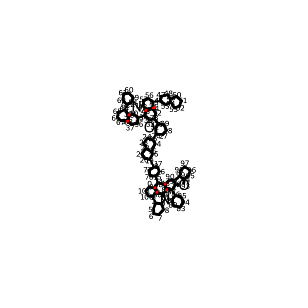 c1ccc(-c2ccccc2N(c2ccc(-c3ccc(-c4ccc5ccc(-c6cccc7c6oc6c(-c8ccccc8N(c8ccc(-c9ccc%10ccccc%10c9)cc8)c8ccccc8-c8ccccc8)cccc67)cc5c4)cc3)cc2)c2ccccc2-c2cccc3c2oc2ccccc23)cc1